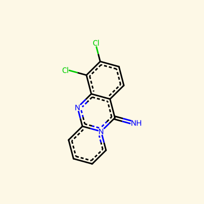 N=c1c2ccc(Cl)c(Cl)c2nc2ccccn12